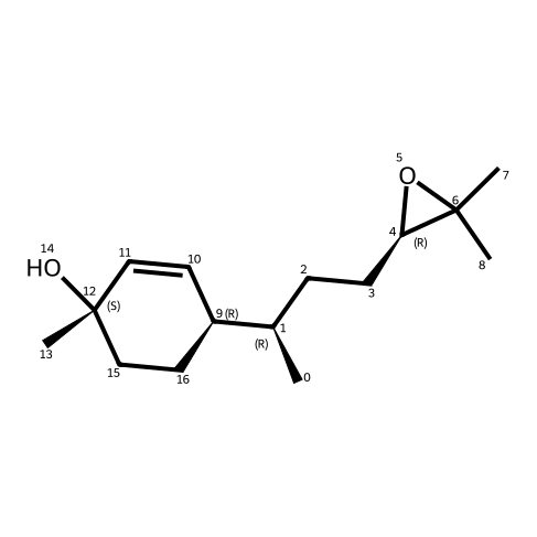 C[C@H](CC[C@H]1OC1(C)C)[C@@H]1C=C[C@@](C)(O)CC1